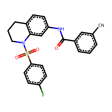 N#Cc1cccc(C(=O)Nc2ccc3c(c2)N(S(=O)(=O)c2ccc(F)cc2)CCC3)c1